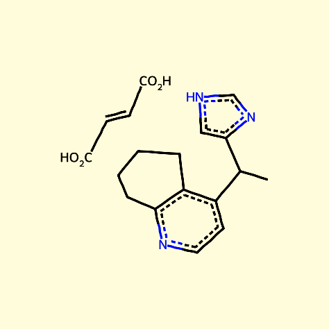 CC(c1c[nH]cn1)c1ccnc2c1CCCC2.O=C(O)C=CC(=O)O